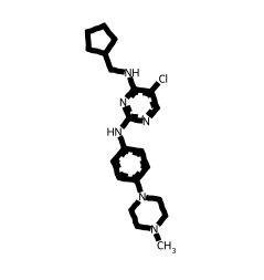 CN1CCN(c2ccc(Nc3ncc(Cl)c(NCC4CCCC4)n3)cc2)CC1